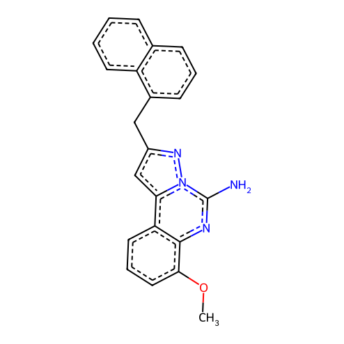 COc1cccc2c1nc(N)n1nc(Cc3cccc4ccccc34)cc21